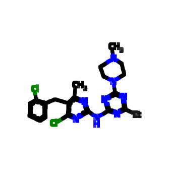 CCc1nc(Nc2nc(C)c(Cc3ccccc3Cl)c(Cl)n2)nc(N2CCN(C)CC2)n1